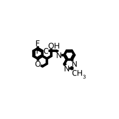 Cc1ncc2c(N=CC(O)(CC3CCOc4ccc(F)cc43)C(F)(F)F)cccc2n1